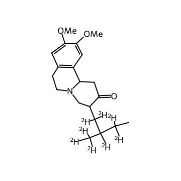 [2H]C([2H])([2H])C([2H])(C([2H])([2H])C)C([2H])([2H])C1CN2CCc3cc(OC)c(OC)cc3C2CC1=O